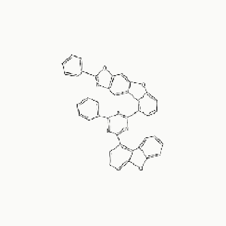 c1ccc(-c2nc(-c3cccc4oc5ccccc5c34)nc(-c3cccc4oc5cc6oc(-c7ccccc7)nc6cc5c34)n2)cc1